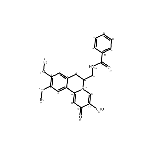 CCOc1cc2c(cc1OCC)-c1cc(=O)c([C]=O)cn1C(CNC(=O)c1ccccc1)C2